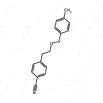 Cc1ccc(SOCCc2ccc(C#N)cc2)cc1